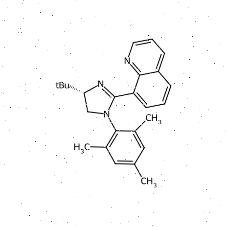 Cc1cc(C)c(N2C[C@H](C(C)(C)C)N=C2c2cccc3cccnc23)c(C)c1